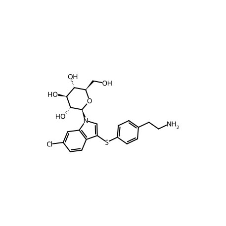 NCCc1ccc(Sc2cn([C@@H]3O[C@H](CO)[C@@H](O)[C@H](O)[C@H]3O)c3cc(Cl)ccc23)cc1